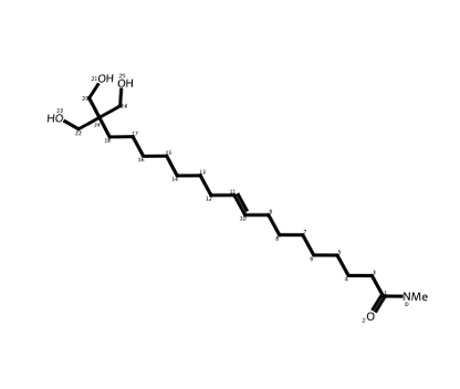 CNC(=O)CCCCCCCC=CCCCCCCCC(CO)(CO)CO